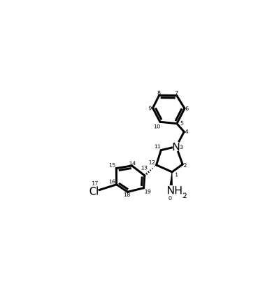 N[C@@H]1CN(Cc2ccccc2)C[C@H]1c1ccc(Cl)cc1